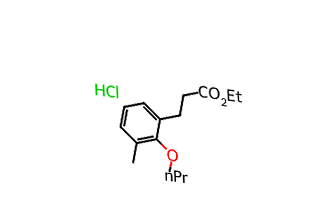 CCCOc1c(C)cccc1CCC(=O)OCC.Cl